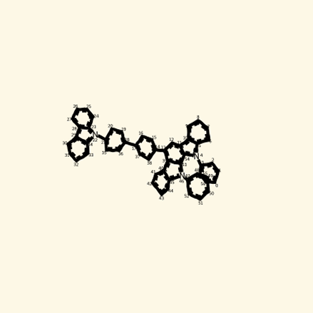 c1ccc(-n2c3ccccc3c3cc(-c4ccc(-c5ccc(-n6c7ccccc7c7ccccc76)cc5)cc4)c4c5ccccc5n(-c5ccccc5)c4c32)cc1